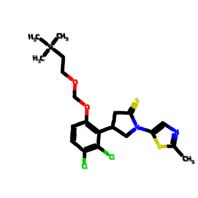 Cc1ncc(N2CC(c3c(OCOCC[Si](C)(C)C)ccc(Cl)c3Cl)CC2=S)s1